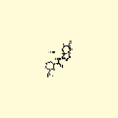 CN1CCCC(C(=O)Nn2ccc3cc(Cl)ccc32)C1.Cl